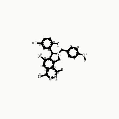 COc1ccc(CN2Cc3c(c(Br)cc4c(Cl)nnc(C)c34)C2c2cc(F)ccc2Cl)cc1